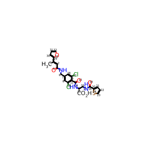 C/C(=C\C(=O)NCc1cc(Cl)c(C(=O)N[C@@H](CNC(=O)c2cccs2)C(=O)O)c(Cl)c1)c1ccco1